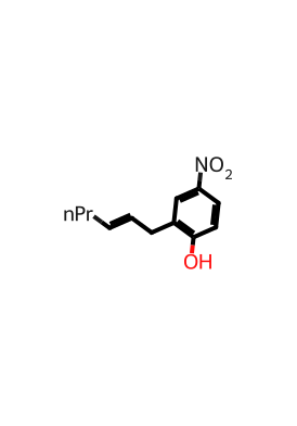 CCCC=CCc1cc([N+](=O)[O-])ccc1O